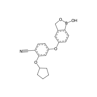 N#Cc1ccc(Oc2ccc3c(c2)COB3O)cc1OC1CCCC1